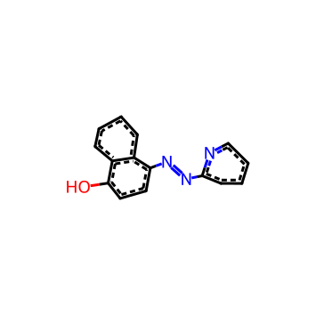 Oc1ccc(N=Nc2ccccn2)c2ccccc12